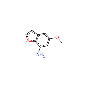 COc1cc(N)c2occc2c1